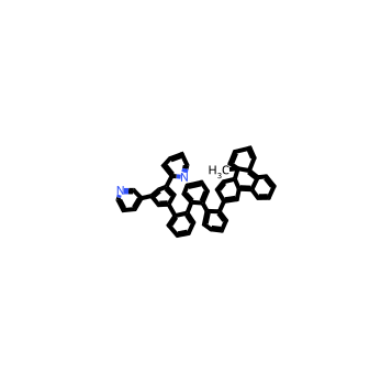 CC12C=CC=CC1=c1ccccc1=C1C=C(c3ccccc3-c3ccccc3-c3ccccc3-c3cc(-c4cccnc4)cc(-c4ccccn4)c3)C=CC12